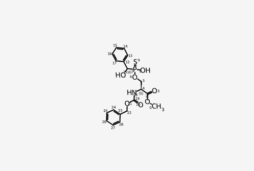 COC(=O)[C@H](COP(O)(=S)C(O)c1ccccc1)NC(=O)OCc1ccccc1